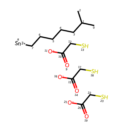 CC(C)CCCC[CH2][Sn+3].O=C([O-])CS.O=C([O-])CS.O=C([O-])CS